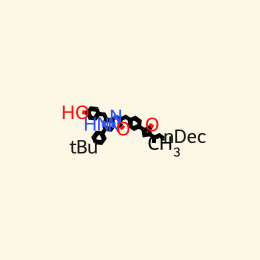 CCCCCCCCCCCCC(C)C1C=C(c2ccc(Cc3nc4c(Cc5ccc(O)cc5)[nH]c(-c5ccc(C(C)(C)C)cc5)cn-4c3=O)cc2)C1=O